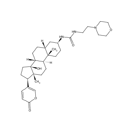 C[C@]12CC[C@H](NC(=O)NCCN3CCOCC3)C[C@H]1CC[C@@H]1[C@@H]2CC[C@]2(C)[C@@H](c3ccc(=O)oc3)CC[C@]12O